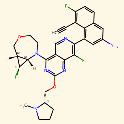 C#Cc1c(F)ccc2cc(N)cc(-c3ncc4c(N5CCOC[C@H]6[C@H](F)[C@H]65)nc(OC[C@@H]5CCCN5C)nc4c3F)c12